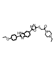 CCOc1ccc(-c2nc3ccc(-c4nnc(SCC(=O)N5CCN(CC)CC5)o4)cc3[nH]2)cc1